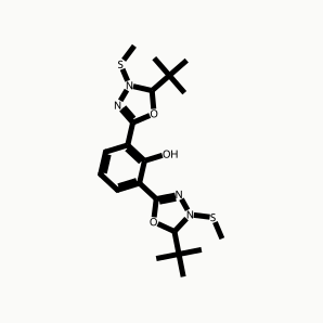 CSN1N=C(c2cccc(C3=NN(SC)C(C(C)(C)C)O3)c2O)OC1C(C)(C)C